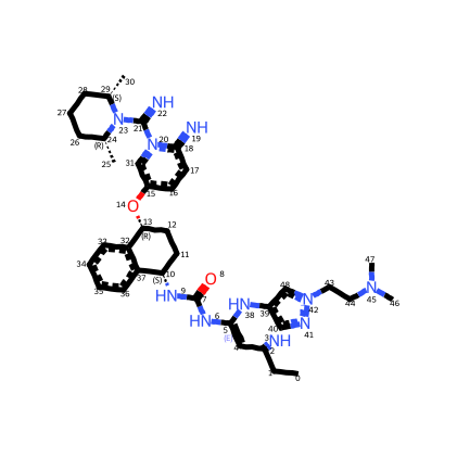 CCC(=N)/C=C(/NC(=O)N[C@H]1CC[C@@H](Oc2ccc(=N)n(C(=N)N3[C@H](C)CCC[C@@H]3C)c2)c2ccccc21)Nc1cnn(CCN(C)C)c1